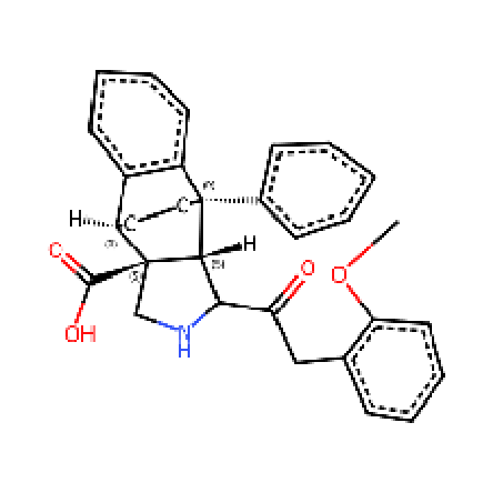 COc1ccccc1CC(=O)C1NC[C@]2(C(=O)O)[C@@H]3CC[C@@](c4ccccc4)(c4ccccc43)[C@H]12